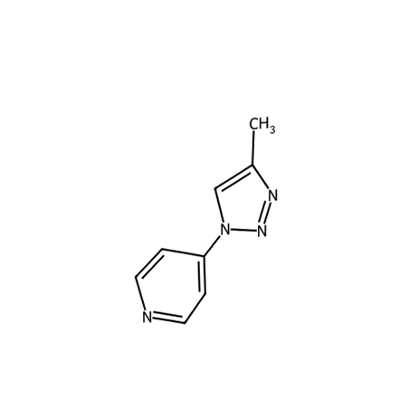 Cc1cn(-c2ccncc2)nn1